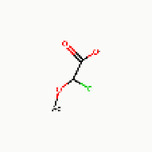 CC(=O)OC(Cl)C([O])=O